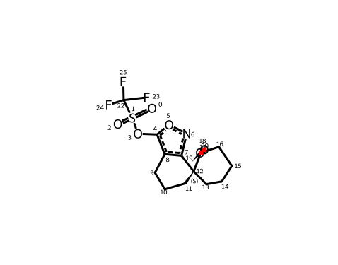 O=S(=O)(Oc1onc2c1CCC[C@@]21CCCCC12OCCO2)C(F)(F)F